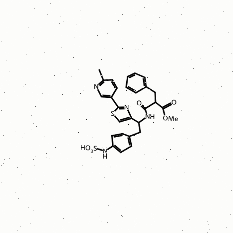 COC(=O)C(Cc1ccccc1)C(=O)NC(Cc1ccc(NS(=O)(=O)O)cc1)c1csc(-c2ccc(C)nc2)n1